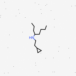 CCCCC(CCC)NCCC1CC1